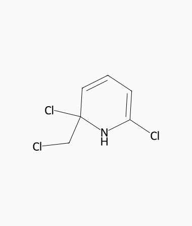 ClCC1(Cl)C=CC=C(Cl)N1